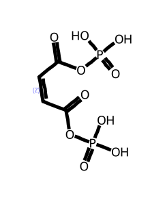 O=C(/C=C\C(=O)OP(=O)(O)O)OP(=O)(O)O